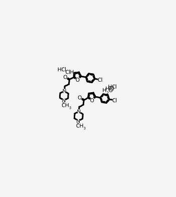 CN1CCN(CCC(=O)c2ccc(-c3ccc(Cl)cc3)o2)CC1.CN1CCN(CCC(=O)c2ccc(-c3ccc(Cl)cc3)o2)CC1.Cl.Cl.Cl.Cl.O